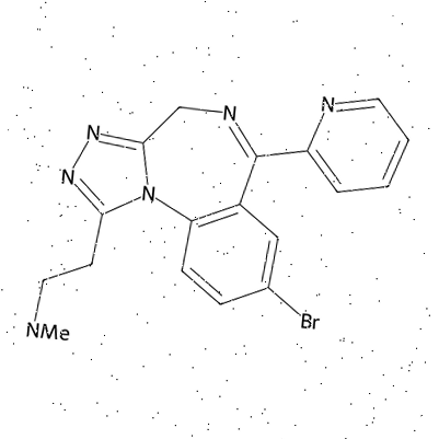 CNCCc1nnc2n1-c1ccc(Br)cc1C(c1ccccn1)=NC2